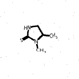 CC1CNC(=S)N1C